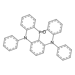 O=P12c3ccccc3N(c3ccccc3)c3cccc(c31)N(c1ccccc1)c1ccccc12